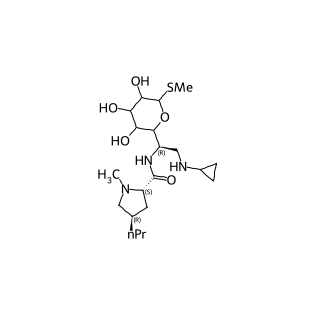 CCC[C@@H]1C[C@@H](C(=O)N[C@H](CNC2CC2)C2OC(SC)C(O)C(O)C2O)N(C)C1